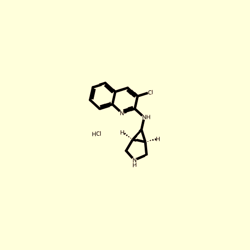 Cl.Clc1cc2ccccc2nc1NC1[C@H]2CNC[C@@H]12